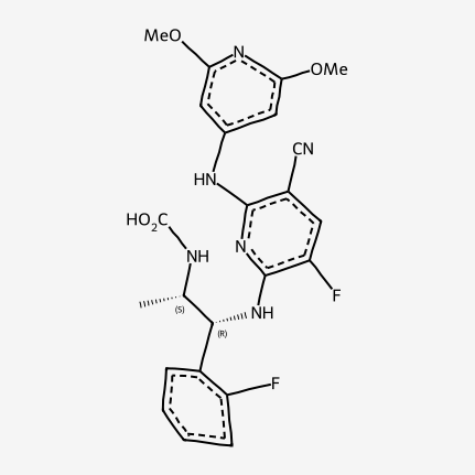 COc1cc(Nc2nc(N[C@H](c3ccccc3F)[C@H](C)NC(=O)O)c(F)cc2C#N)cc(OC)n1